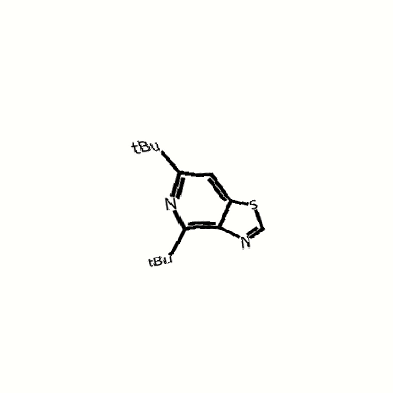 CC(C)(C)c1cc2scnc2c(C(C)(C)C)n1